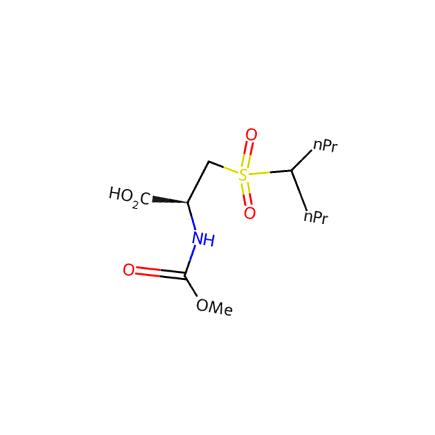 CCCC(CCC)S(=O)(=O)C[C@@H](NC(=O)OC)C(=O)O